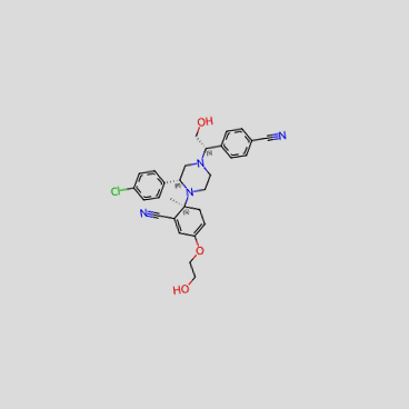 C[C@]1(N2CCN([C@H](CO)c3ccc(C#N)cc3)C[C@H]2c2ccc(Cl)cc2)CC=C(OCCO)C=C1C#N